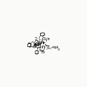 CC(C)C[C@@H](NC(=O)[C@@H](Cc1ccccc1)NC(=O)[C@H](N)Cc1ccccc1)C(=O)N[C@H](CCCCN)C(=O)N1CC(B(O)O)c2ccccc21